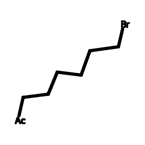 CC(=O)CCCCCCBr